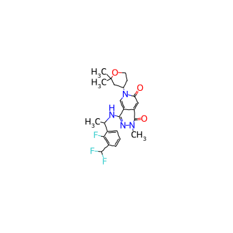 CC(Nc1nn(C)c(=O)c2cc(=O)n([C@H]3CCOC(C)(C)C3)cc12)c1cccc(C(F)F)c1F